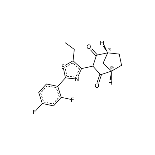 CCc1sc(-c2ccc(F)cc2F)nc1C1C(=O)[C@@H]2CC[C@@H](C2)C1=O